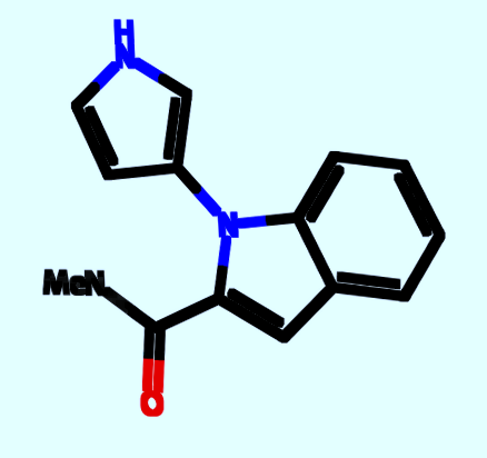 CNC(=O)c1cc2ccccc2n1-c1cc[nH]c1